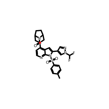 Cc1ccc(S(=O)(=O)n2c(-c3cnn(C(F)F)c3)cc3c(N4CC5CCC(C4)N5C=O)ccnc32)cc1